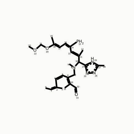 C\C=C(C)/C=C\C(CN(C)C(/C(C)=C/C(P)=C\C=C(/C)OCOC)c1nnc(C)[nH]1)=C(/C)C=O